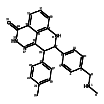 CNCc1ccc(C2Nc3cccc4c(=O)[nH]nc(c34)C2c2ccc(C)cc2)cc1